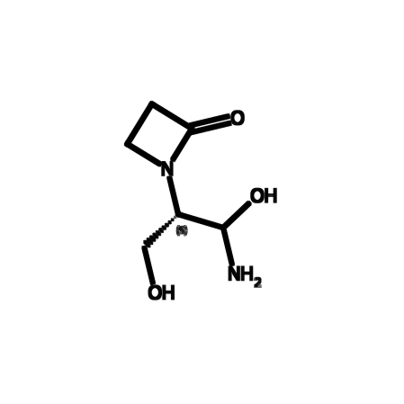 NC(O)[C@H](CO)N1CCC1=O